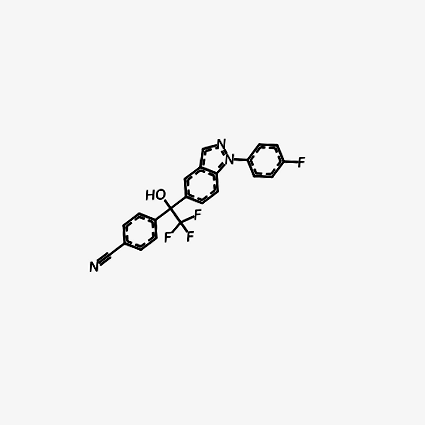 N#Cc1ccc(C(O)(c2ccc3c(cnn3-c3ccc(F)cc3)c2)C(F)(F)F)cc1